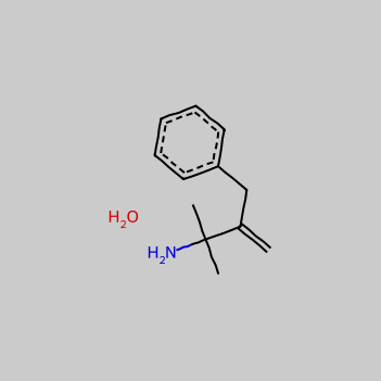 C=C(Cc1ccccc1)C(C)(C)N.O